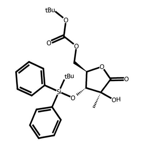 CC(C)(C)OC(=O)OC[C@H]1OC(=O)[C@@](C)(O)[C@@H]1O[Si](c1ccccc1)(c1ccccc1)C(C)(C)C